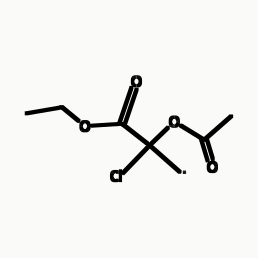 [CH2]C(Cl)(OC(C)=O)C(=O)OCC